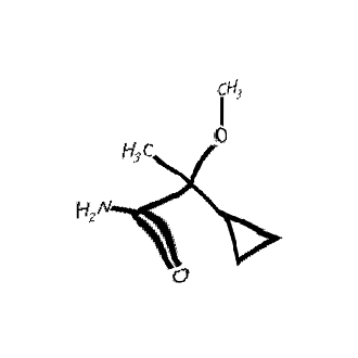 COC(C)(C(N)=O)C1CC1